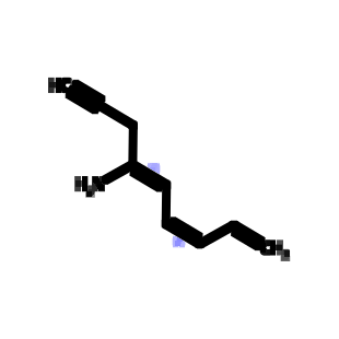 C#CC/C(N)=C/C=C\C=C